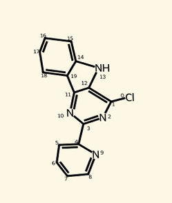 Clc1nc(-c2ccccn2)nc2c1[nH]c1ccccc12